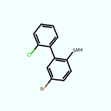 CSc1ccc(Br)cc1-c1ccccc1Cl